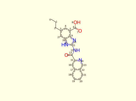 CCCc1cc(C(=O)O)c2nc(NC(=O)c3cc4ccccc4cn3)[nH]c2c1